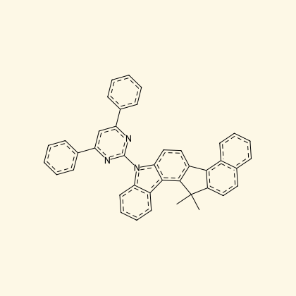 CC1(C)c2ccc3ccccc3c2-c2ccc3c(c21)c1ccccc1n3-c1nc(-c2ccccc2)cc(-c2ccccc2)n1